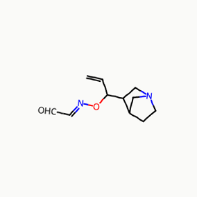 C=CC(ON=CC=O)C1CN2CCC1C2